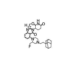 Cc1nc2cccc(N3CCN(CCC45CC6CC(CC(C6)C4)C5)CC3CF)c2c(=O)n1C1CCC(=O)NC1=O